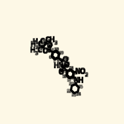 CC1(C)OB(c2ccc(C(=O)NS(=O)(=O)c3ccc(NC4CCCCC4)c([N+](=O)[O-])c3)cc2)OC1(C)C